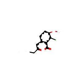 CCCCCCCCCCCc1cc2ccc(OCCC)c(F)c2c(=O)o1